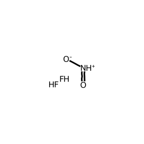 F.F.O=[NH+][O-]